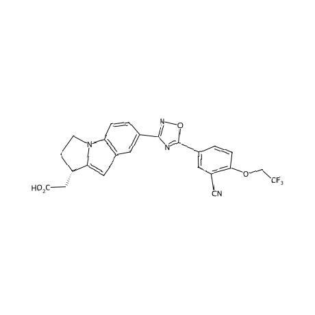 N#Cc1cc(-c2nc(-c3ccc4c(c3)cc3n4CC[C@H]3CC(=O)O)no2)ccc1OCC(F)(F)F